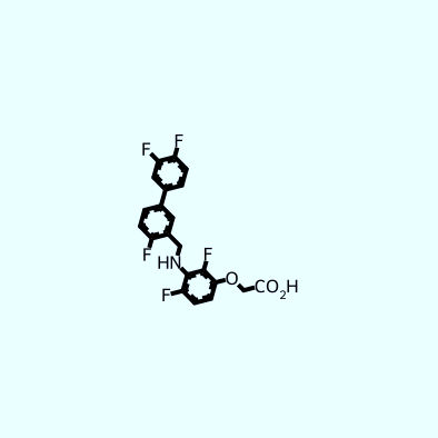 O=C(O)COc1ccc(F)c(NCc2cc(-c3ccc(F)c(F)c3)ccc2F)c1F